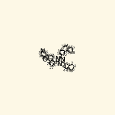 c1ccc2cc(-c3nc(-c4ccc5ccc6ccccc6c5c4)nc(-c4cccc5c4ccc4c6cnccc6oc54)n3)ccc2c1